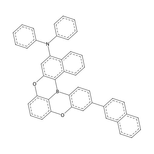 c1ccc(N(c2ccccc2)c2cc3c(c4ccccc24)B2c4ccc(-c5ccc6ccccc6c5)cc4Oc4cccc(c42)O3)cc1